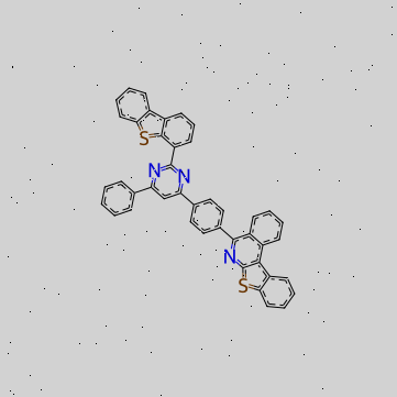 c1ccc(-c2cc(-c3ccc(-c4nc5sc6ccccc6c5c5ccccc45)cc3)nc(-c3cccc4c3sc3ccccc34)n2)cc1